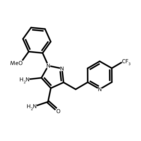 COc1ccccc1-n1nc(Cc2ccc(C(F)(F)F)cn2)c(C(N)=O)c1N